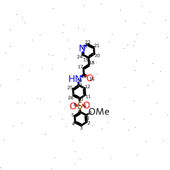 COc1ccccc1S(=O)(=O)c1ccc(NC(=O)C=Cc2cccnc2)cc1